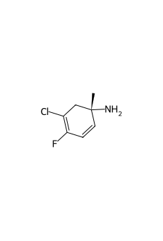 C[C@@]1(N)C=CC(F)=C(Cl)C1